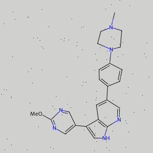 COc1ncc(-c2c[nH]c3ncc(-c4ccc(N5CCN(C)CC5)cc4)cc23)cn1